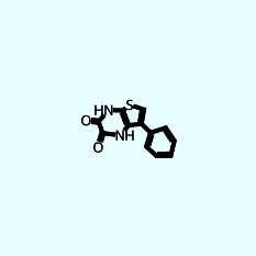 O=c1[nH]c2scc(-c3ccccc3)c2[nH]c1=O